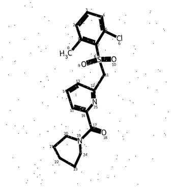 Cc1cccc(Cl)c1S(=O)(=O)Cc1cccc(C(=O)N2CCCCC2)n1